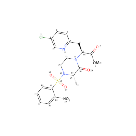 COC(=O)[C@H](Cc1ccc(Cl)cn1)N1CCN(S(=O)(=O)c2ccccc2[N+](=O)[O-])[C@@H](C)C1=O